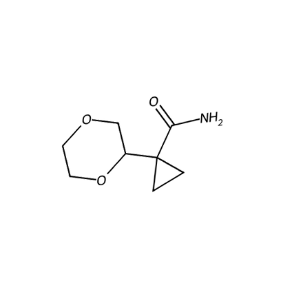 NC(=O)C1(C2COCCO2)CC1